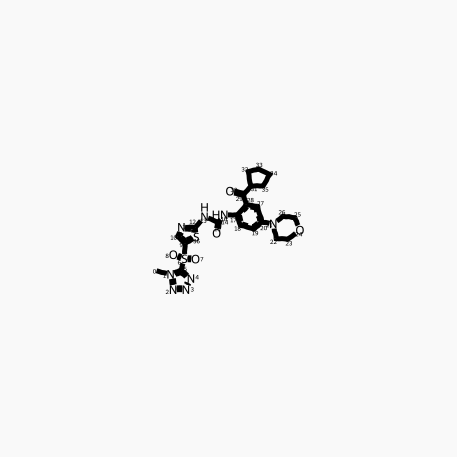 Cn1nnnc1S(=O)(=O)c1cnc(NC(=O)Nc2ccc(N3CCOCC3)cc2C(=O)C2CCCC2)s1